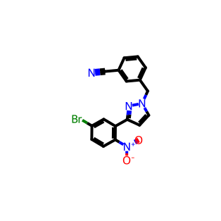 N#Cc1cccc(Cn2ccc(-c3cc(Br)ccc3[N+](=O)[O-])n2)c1